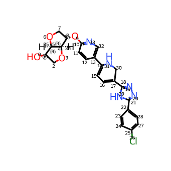 O[C@@H]1CO[C@H]2[C@@H]1OC[C@@H]2Oc1ccc(C2=CC=C(c3nnc(-c4ccc(Cl)cc4)[nH]3)CN2)cn1